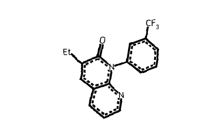 CCc1cc2cccnc2n(-c2cccc(C(F)(F)F)c2)c1=O